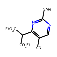 CCOC(=O)C(C(=O)OCC)c1nc(SC)ncc1C#N